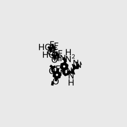 CCOc1cc(OC(C)C)c(F)c(N(Cc2nc(-c3cnn(C)c3)c[nH]2)c2ccc(C(=N)N)cc2)c1.O=C(O)C(F)(F)F.O=C(O)C(F)(F)F